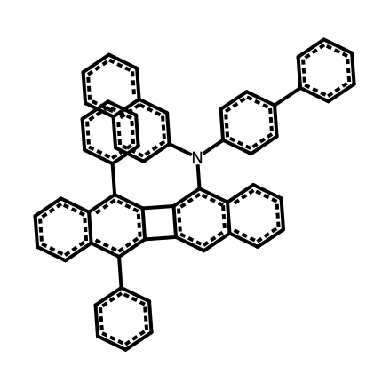 c1ccc(-c2ccc(N(c3ccc4ccccc4c3)c3c4c(cc5ccccc35)-c3c-4c(-c4ccccc4)c4ccccc4c3-c3ccccc3)cc2)cc1